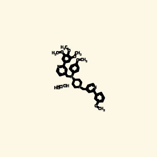 COc1ccc(N(Cc2ccnc(-c3cc(OC)c(OC)c(OC)c3)c2)C2CCN(Cc3ccnc(-c4cccc(OC)c4)c3)CC2)cc1.Cl.Cl.Cl